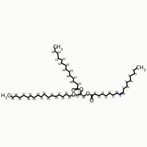 CCCCCCCC/C=C\CCCCCCCC(=O)OC[C@@H](COCCCCCCCCCCCCCCCCCC)OC(=O)CCCCCCCCCCCCC